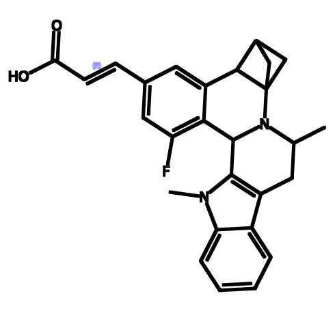 CC1Cc2c(n(C)c3ccccc23)C2c3c(F)cc(/C=C/C(=O)O)cc3C3C4CC3(C4)N12